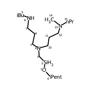 CCCC(C)O[SiH2]CN(CCCNC(C)CC)CCCN(C)CCC